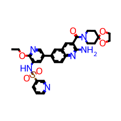 CCOc1ncc(-c2ccc3nc(N)c(C(=O)N4CCC5(CC4)OCCO5)cc3c2)cc1NS(=O)(=O)c1cccnc1